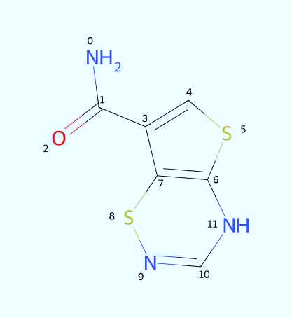 NC(=O)c1csc2c1SN=CN2